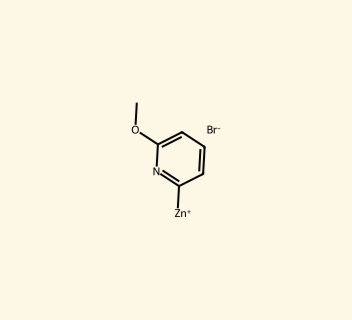 COc1ccc[c]([Zn+])n1.[Br-]